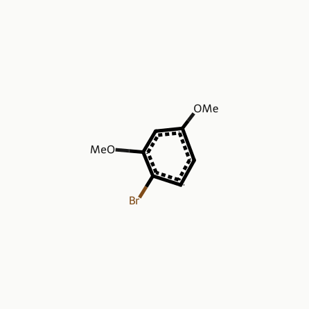 COc1c[c]c(Br)c(OC)c1